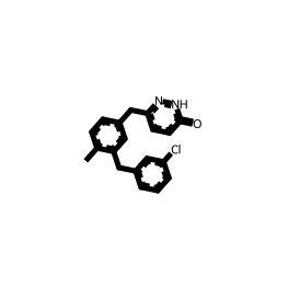 Cc1ccc(Cc2ccc(=O)[nH]n2)cc1Cc1cccc(Cl)c1